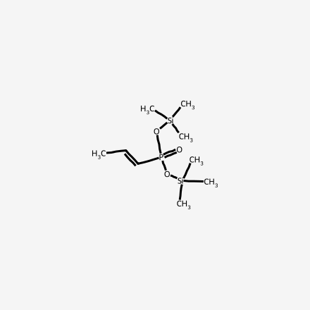 C/C=C/P(=O)(O[Si](C)(C)C)O[Si](C)(C)C